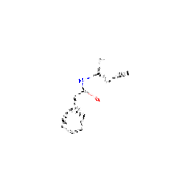 CC(C)C(CC(=O)O)NC(=O)Cc1ccccc1